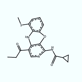 CCC(=O)c1cnc(NC(=O)C2CC2)c2c1Nc1c(cccc1SC)O2